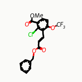 COC(=O)c1ccc(OC(F)(F)F)c(/C=C/C(=O)OCc2ccccc2)c1Cl